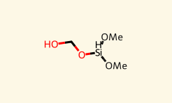 CO[SiH](OC)OCO